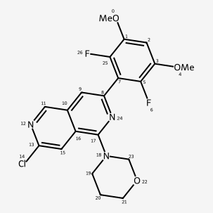 COc1cc(OC)c(F)c(-c2cc3cnc(Cl)cc3c(N3CCCOC3)n2)c1F